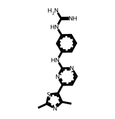 Cc1nc(C)c(-c2ccnc(Nc3cccc(NC(=N)N)c3)n2)s1